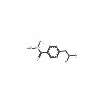 CCC(CC)Cc1ccc(C(=O)N(C)OC)cc1